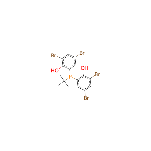 CC(C)(C)P(c1cc(Br)cc(Br)c1O)c1cc(Br)cc(Br)c1O